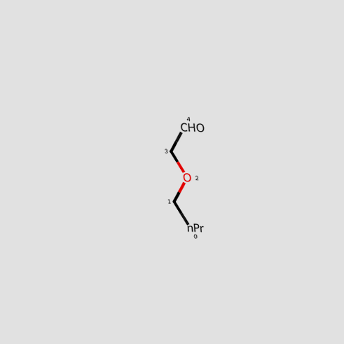 CCCCOCC=O